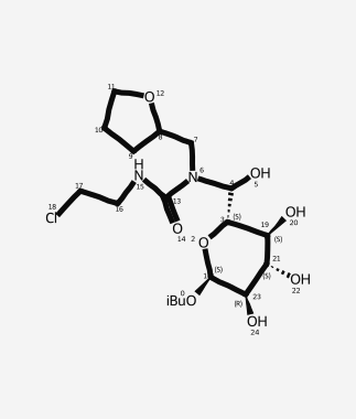 CC(C)CO[C@H]1O[C@H](C(O)N(CC2CCCO2)C(=O)NCCCl)[C@@H](O)[C@H](O)[C@H]1O